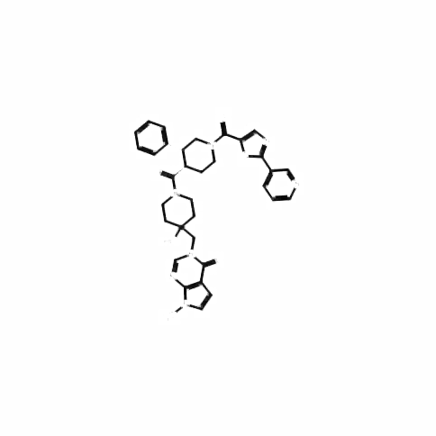 Cn1ccc2c(=O)n(CC3(O)CCN(C(=O)[C@@H]4CCN(C(=O)c5cnc(-c6cccnc6)s5)C[C@H]4c4ccccc4)CC3)cnc21